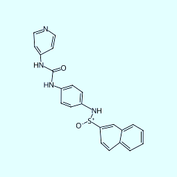 O=C(Nc1ccncc1)Nc1ccc(N[S+]([O-])c2ccc3ccccc3c2)cc1